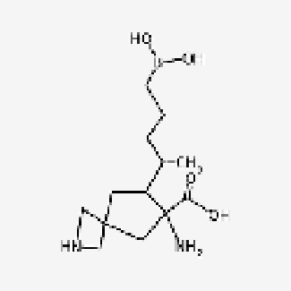 CC(CCCB(O)O)C1CC2(CNC2)CC1(N)C(=O)O